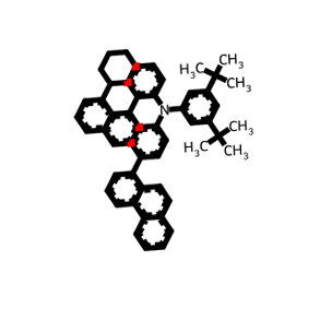 CC(C)(C)c1cc(N(c2ccc(-c3cccc4c3ccc3ccccc34)cc2)c2ccccc2-c2cccc3cccc(C4CCCCC4)c23)cc(C(C)(C)C)c1